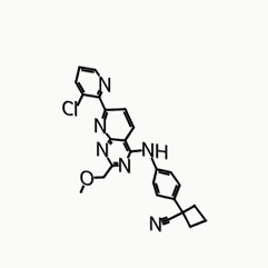 COCc1nc(Nc2ccc(C3(C#N)CCC3)cc2)c2ccc(-c3ncccc3Cl)nc2n1